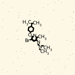 CCN(C=Nc1cc(Br)c(OC2CCC(C(C)C)CC2)nc1C)CC